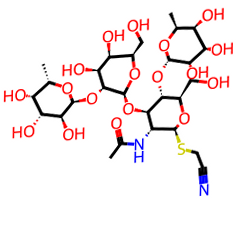 CC(=O)N[C@@H]1[C@@H](O[C@@H]2O[C@H](CO)[C@H](O)[C@H](O)[C@H]2O[C@@H]2O[C@@H](C)[C@@H](O)[C@@H](O)[C@@H]2O)[C@H](O[C@@H]2O[C@@H](C)[C@@H](O)[C@@H](O)[C@@H]2O)[C@@H](CO)O[C@H]1SCC#N